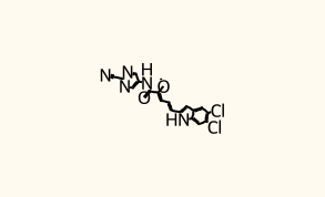 CO/C(=C\C=C\c1cc2cc(Cl)c(Cl)cc2[nH]1)C(=O)Nc1cnc(C#N)nc1